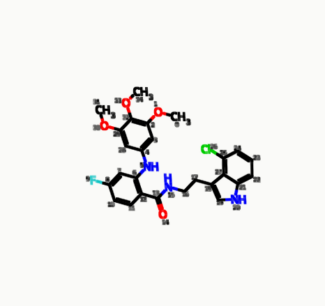 COc1cc(Nc2cc(F)ccc2C(=O)NCCc2c[nH]c3cccc(Cl)c23)cc(OC)c1OC